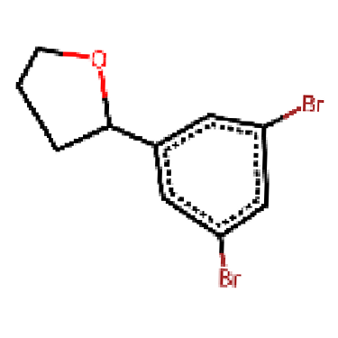 Brc1cc(Br)cc(C2CCCO2)c1